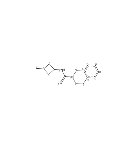 CC1CC(NC(=O)N2CCc3ccccc3C2)C1